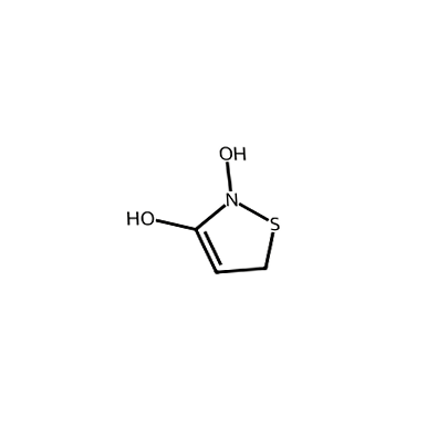 OC1=CCSN1O